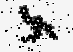 COC(=O)c1cc(Nc2nn(Cc3ccc(OC)cc3)c3nccc(Oc4ccc(Oc5ccccc5)cc4)c23)ccn1